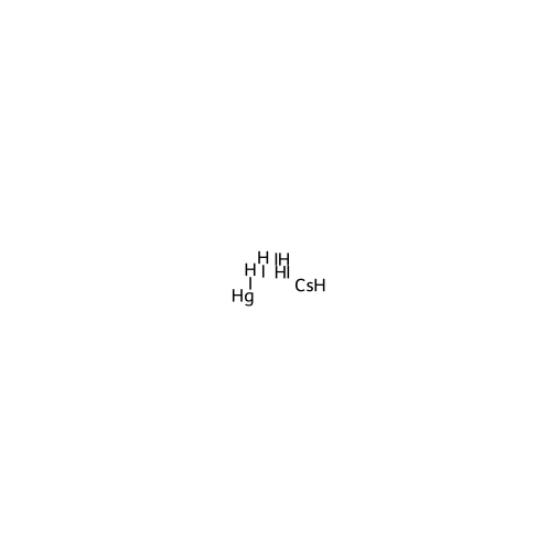 I.I.I.I.[CsH].[Hg]